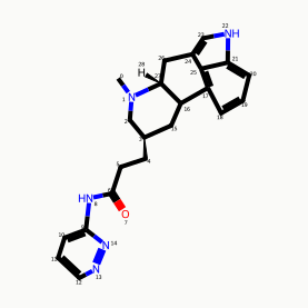 CN1C[C@H](CCC(=O)Nc2cccnn2)CC2c3cccc4[nH]cc(c34)C[C@H]21